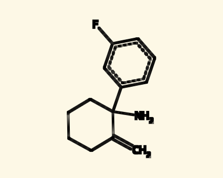 C=C1CCCCC1(N)c1cccc(F)c1